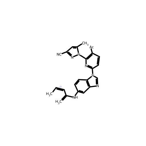 C=C(/C=C\C)Nc1ccc2c(c1)ncn2-c1ccc(C(C)=O)c(-n2nc(C#N)cc2C)n1